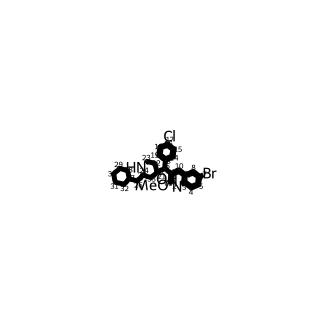 COc1nc2ccc(Br)cc2cc1C(c1ccc(Cl)cc1)C1(O)CCNC(CC2CCCCC2)C1